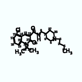 CCCCN1CCC(CNC(=O)c2cc3c(Cl)cccc3n(C(C)C)c2=O)CC1